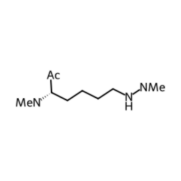 CNNCCCC[C@H](NC)C(C)=O